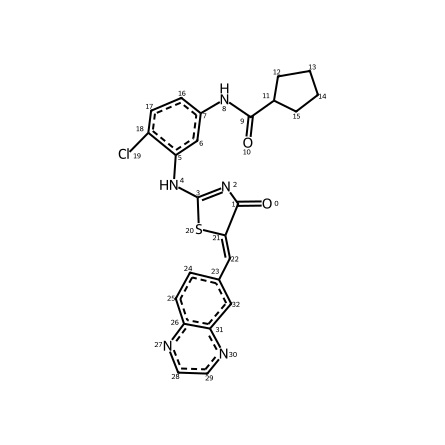 O=C1N=C(Nc2cc(NC(=O)C3CCCC3)ccc2Cl)S/C1=C\c1ccc2nccnc2c1